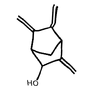 C=C1C(=C)C2CC1C(=C)C2O